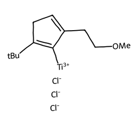 COCCC1=CCC(C(C)(C)C)=[C]1[Ti+3].[Cl-].[Cl-].[Cl-]